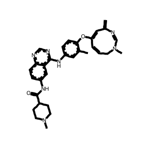 C=C1/C=C(Oc2ccc(Nc3ncnc4ccc(NC(=O)C5CCN(C)CC5)cc34)cc2C)\C=C/CN(C)/C=N\1